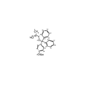 COc1ccc(C(OC[C@@H](C)O)(c2ccccc2)c2ccccc2)cc1